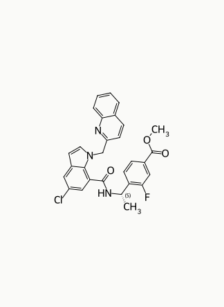 COC(=O)c1ccc([C@H](C)NC(=O)c2cc(Cl)cc3ccn(Cc4ccc5ccccc5n4)c23)c(F)c1